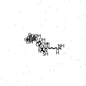 CC(=N)NCCCCNc1nc(S)c2ncn([C@@H]3O[C@H](COP(=O)(O)OP(=O)(O)OP(=O)(O)O)[C@H](O)C3O)c2n1